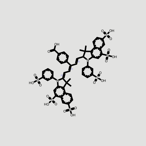 CC1(C)\C(=C/C=C(/C=C/C2N(c3cccc(S(=O)(=O)O)c3)c3cc(S(=O)(=O)O)c4cc(S(=O)(=O)O)ccc4c3C2(C)C)c2ccc(C(=O)O)cc2)N(c2cccc(S(=O)(=O)O)c2)c2cc(S(=O)(=O)O)c3cc(S(=O)(=O)O)ccc3c21